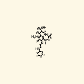 Nc1c(F)c(NCCNc2ccccn2)c2c3c1c(=O)c(C(=O)O)cn3CC1(CC1)CO2